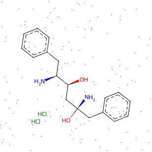 Cl.Cl.N[C@@H](Cc1ccccc1)[C@@H](O)C[C@@](N)(O)Cc1ccccc1